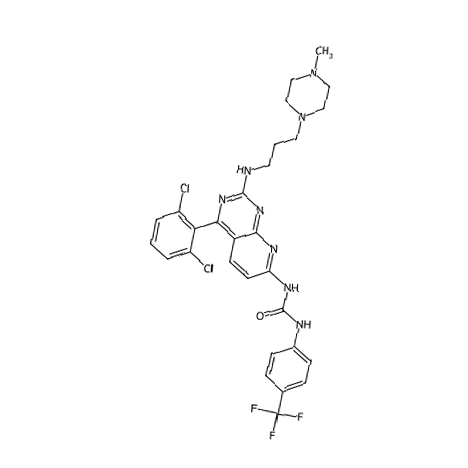 CN1CCN(CCCNc2nc(-c3c(Cl)cccc3Cl)c3ccc(NC(=O)Nc4ccc(C(F)(F)F)cc4)nc3n2)CC1